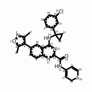 Cc1noc(C)c1-c1ccc2nc(C(=O)NC3=CCSC=C3)nc(NC3(c4cccc(Cl)c4)CC3)c2c1